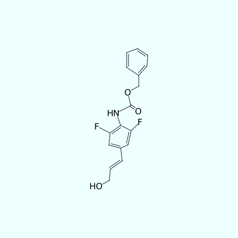 O=C(Nc1c(F)cc(/C=C/CO)cc1F)OCc1ccccc1